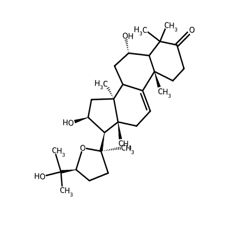 CC1(C)C(=O)CC[C@]2(C)C3=CC[C@]4(C)[C@@H]([C@@]5(C)CC[C@@H](C(C)(C)O)O5)[C@@H](O)C[C@@]4(C)C3C[C@H](O)C12